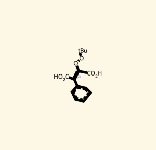 CC(C)(C)OO/C(C(=O)O)=C(\C(=O)O)c1ccccc1